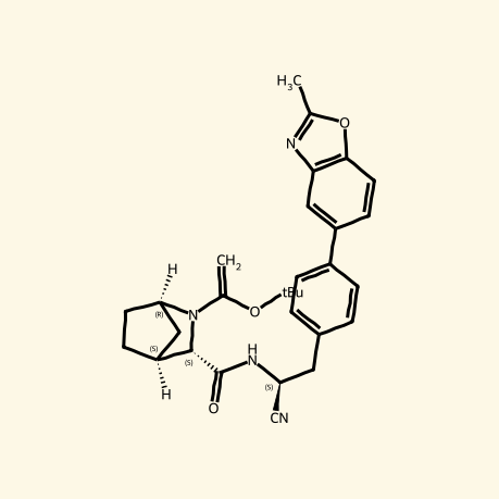 C=C(OC(C)(C)C)N1[C@@H]2CC[C@@H](C2)[C@H]1C(=O)N[C@H](C#N)Cc1ccc(-c2ccc3oc(C)nc3c2)cc1